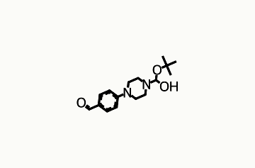 CC(C)(C)OC(O)N1CCN(c2ccc(C=O)cc2)CC1